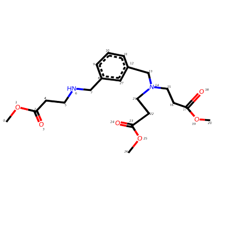 COC(=O)CCNCc1cccc(CN(CCC(=O)OC)CCC(=O)OC)c1